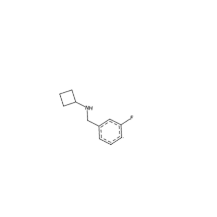 Fc1[c]ccc(CNC2CCC2)c1